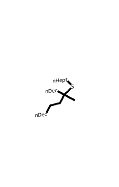 CCCCCCCCCCCCC(C)(CCCCCCCCCC)SCCCCCCC